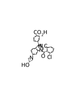 Cc1cccc(Cl)c1C(=O)n1nc(-c2ccc(C(=O)O)cc2)c2ccc(N3CC(O)C3)cc21